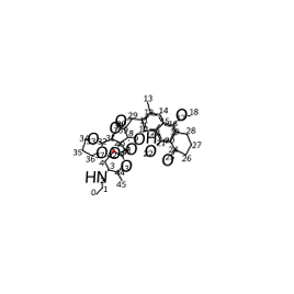 CCN[C@@H]1CC[C@H](O[C@@]23Oc4c(c(C)cc5c(OC)c6c(c(O)c45)C(=O)CCC6)C4OC(C5OCCCO5)(OC42)[C@]32CO2)OC1C